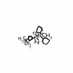 CN(C)c1ccc(NC(=O)N(C2CCCCCC2)C2(C)CCCCC2)cc1